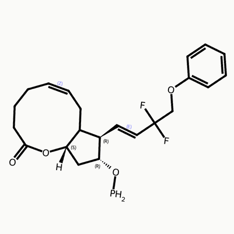 O=C1CCC/C=C\CC2[C@H](C[C@@H](OP)[C@@H]2/C=C/C(F)(F)COc2ccccc2)O1